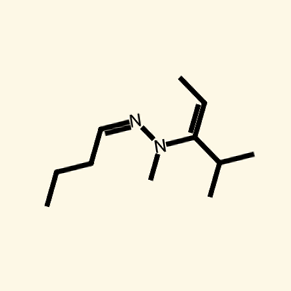 C/C=C(/C(C)C)N(C)/N=C\CCC